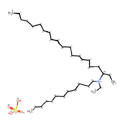 CCCCCCCCCCCCCCCCCCC(CC)N(CC)CCCCCCCCCCCC.O=S(=O)(O)O